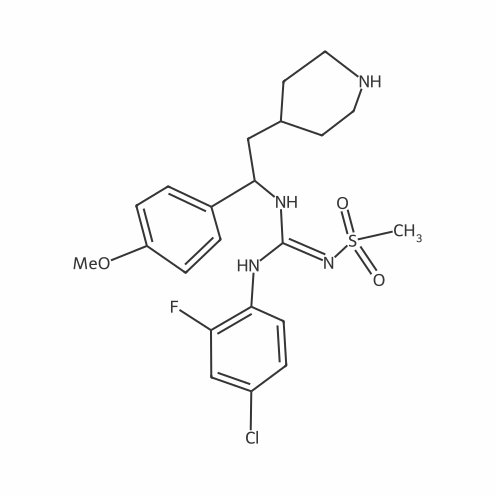 COc1ccc(C(CC2CCNCC2)NC(=NS(C)(=O)=O)Nc2ccc(Cl)cc2F)cc1